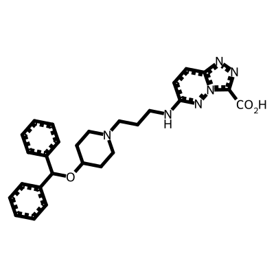 O=C(O)c1nnc2ccc(NCCCN3CCC(OC(c4ccccc4)c4ccccc4)CC3)nn12